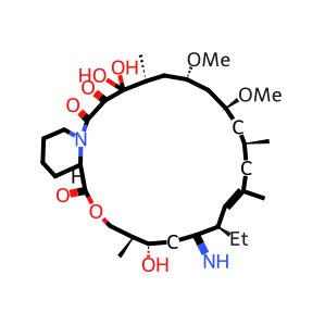 CC[C@@H]1/C=C(\C)C[C@H](C)C[C@H](OC)C[C@@H](OC)C[C@@H](C)C(O)(O)C(=O)C(=O)N2CCCC[C@H]2C(=O)OC[C@H](C)[C@@H](O)CC1=N